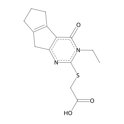 CCn1c(SCC(=O)O)nc2c(c1=O)C1=C(CCC1)C2